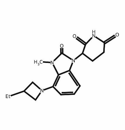 CCC1CN(c2cccc3c2n(C)c(=O)n3C2CCC(=O)NC2=O)C1